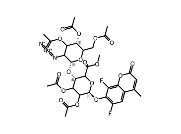 COC(=O)C1O[C@@H](Oc2c(F)cc3c(C)cc(=O)oc3c2F)C(OC(C)=O)C(OC(C)=O)[C@@H]1O[C@H]1OC(COC(C)=O)[C@@H](OC(C)=O)C(OC(C)=O)C1N=[N+]=[N-]